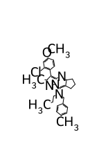 CCCN(Cc1ccc(C)cc1)c1c2c(nc3c(-c4ccc(OC)cc4Cl)c(C)nn13)CCC2